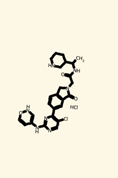 CC(NC(=O)CN1Cc2ccc(-c3nc(NC4=CNOC=C4)ncc3Cl)cc2C1=O)C1CCCNC1.Cl